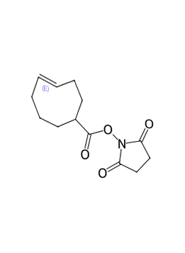 O=C(ON1C(=O)CCC1=O)C1CC/C=C/CCC1